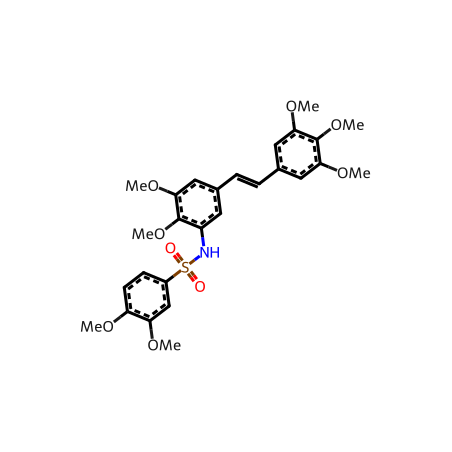 COc1ccc(S(=O)(=O)Nc2cc(C=Cc3cc(OC)c(OC)c(OC)c3)cc(OC)c2OC)cc1OC